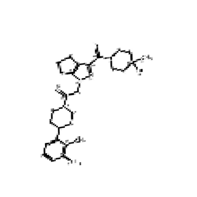 Cc1cccc(C2CCN(C(=O)Cn3nc(C(=O)N4CCC(C)(O)CC4)c4c3CCC4)CC2)c1C